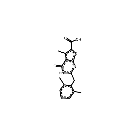 Cc1cccc(C)c1Cc1nc2sc(C(=O)O)c(C)c2c(=O)[nH]1